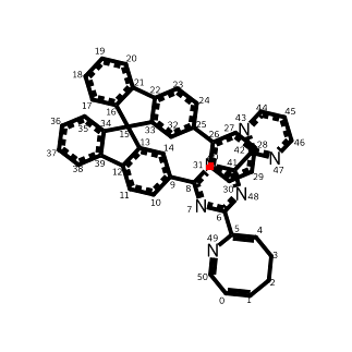 C1=C/CC\C=C(c2nc(-c3ccc4c(c3)C3(c5ccccc5-c5ccc(-c6ccccc6)cc53)c3ccccc3-4)nc(-c3ncccn3)n2)/N=C\1